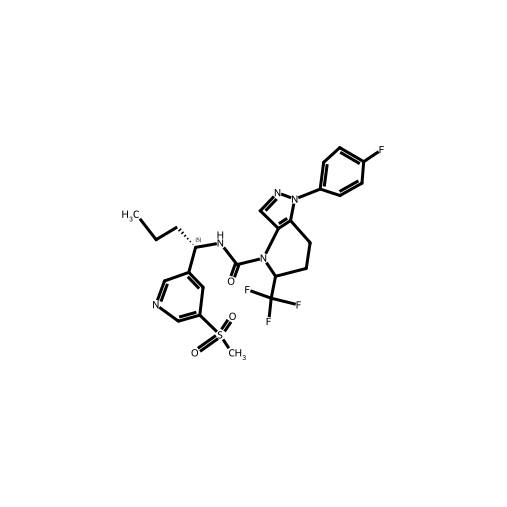 CCC[C@H](NC(=O)N1c2cnn(-c3ccc(F)cc3)c2CCC1C(F)(F)F)c1cncc(S(C)(=O)=O)c1